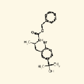 CC(Cc1cc(C(C)(C)O)ccc1Br)NC(=O)OCc1ccccc1